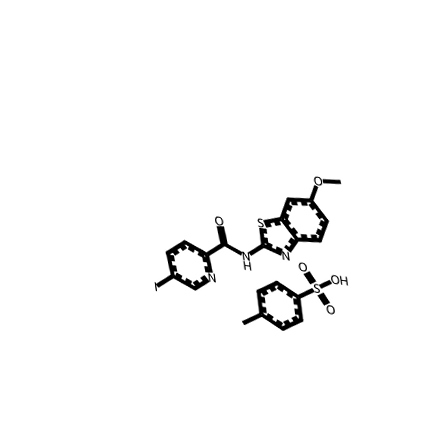 COc1ccc2nc(NC(=O)c3ccc(I)cn3)sc2c1.Cc1ccc(S(=O)(=O)O)cc1